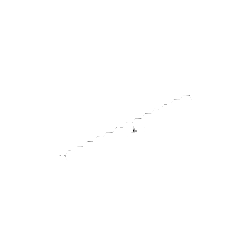 CC(C)CCCCCCCCCCCCCC(CCCCCCCCCCCC(C)C)C(=O)O